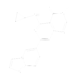 Cn1cnc2cc(-c3ccc4nccn4c3)nc(NC3CC3)c2c1=O